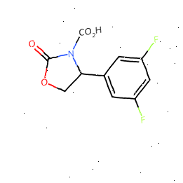 O=C(O)N1C(=O)OCC1c1cc(F)cc(F)c1